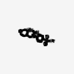 CC(C)S(=O)(=O)c1ccc2c(c1)nc(C(C)(C)C)n2CC1CCOCC1